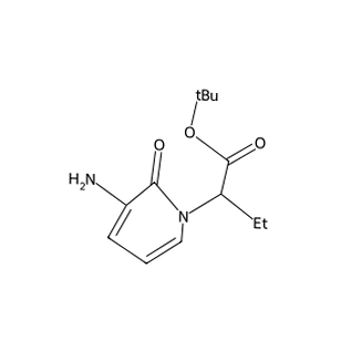 CCC(C(=O)OC(C)(C)C)n1cccc(N)c1=O